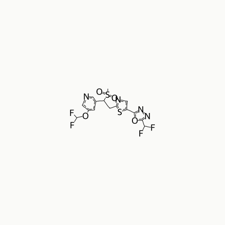 CS(=O)(=O)C(Cc1ncc(-c2nnc(C(F)F)o2)s1)c1cncc(OC(F)F)c1